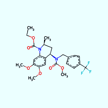 CCOC(=O)N1c2cc(OC)c(OC)cc2[C@H](N(Cc2ccc(C(F)(F)F)cc2)C(=O)OC)C[C@@H]1C